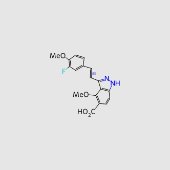 COc1ccc(/C=C/c2n[nH]c3ccc(C(=O)O)c(OC)c23)cc1F